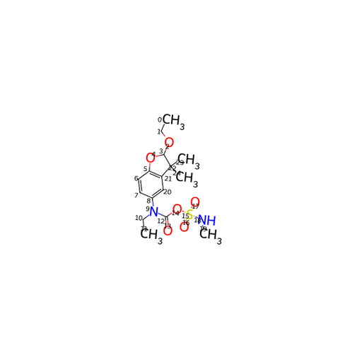 CCOC1Oc2ccc(N(CC)C(=O)OS(=O)(=O)NC)cc2C1(C)C